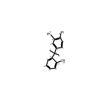 CC(C)c1ccc(C(C)(C)c2ccccc2C#N)cc1C(C)C